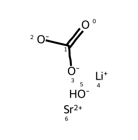 O=C([O-])[O-].[Li+].[OH-].[Sr+2]